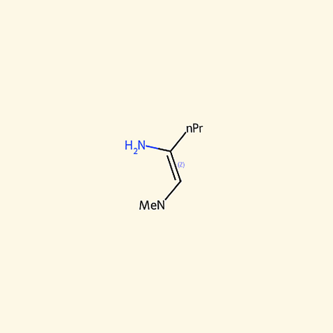 CCC/C(N)=C/NC